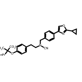 CCCC(C)(Oc1ccc(CCN(C#N)Cc2ccc(-c3coc(C4CC4)n3)cc2)cc1)C(=O)O